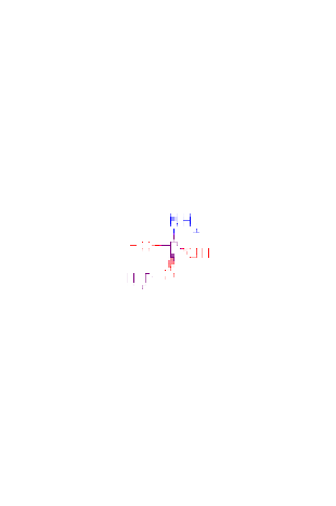 NP(=O)(O)O.P